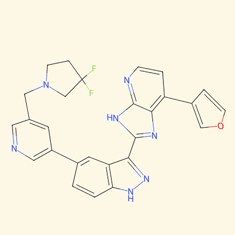 FC1(F)CCN(Cc2cncc(-c3ccc4[nH]nc(-c5nc6c(-c7ccoc7)ccnc6[nH]5)c4c3)c2)C1